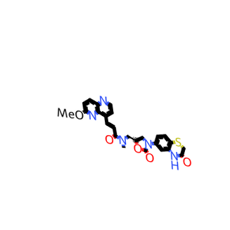 COc1ccc2nccc(C=CC(=O)N(C)C[C@H]3CN(c4ccc5c(c4)NC(=O)CS5)C(=O)O3)c2n1